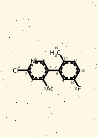 CC(=O)c1cc(Cl)ncc1-c1cc(F)ccc1C